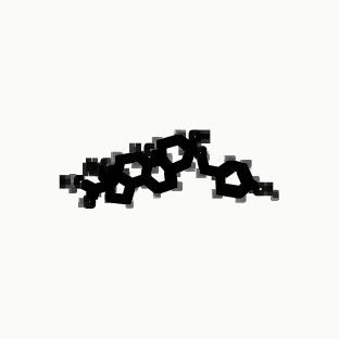 CC(=O)C1(O)CCC2C3CC=C4CC(O)(OCc5ccc(C)cc5)CCC4(C)C3CCC21C